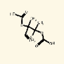 C=CC(C)(OC(=O)O)C(C)(C)OC(=O)O